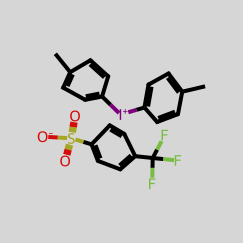 Cc1ccc([I+]c2ccc(C)cc2)cc1.O=S(=O)([O-])c1ccc(C(F)(F)F)cc1